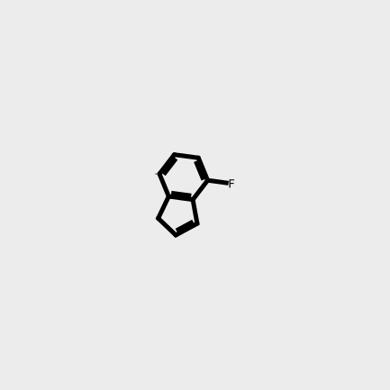 Fc1cc[c]c2c1C=CC2